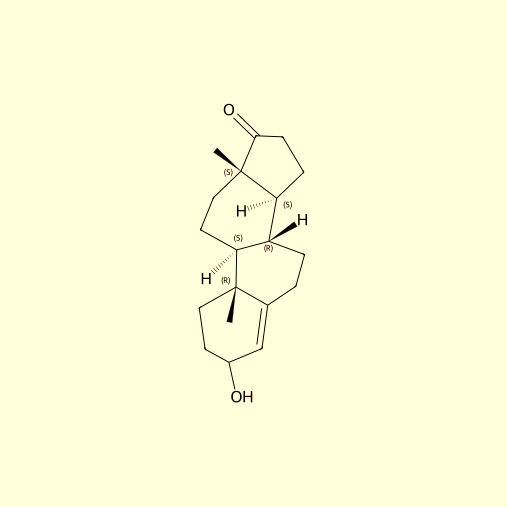 C[C@]12CCC(O)C=C1CC[C@@H]1[C@@H]2CC[C@]2(C)C(=O)CC[C@@H]12